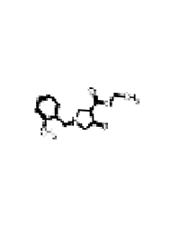 CCOC(=O)C1CN(Cc2ccccc2C)CC1=O